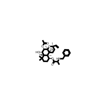 C=C[C@@]1(C)CC[C@]2(O)[C@@]3(C)[C@@H](OC(=O)C(C)NCc4ccccc4)CCC(C)(C)[C@@H]3[C@H](O)[C@H](OC(C)=O)[C@@]2(C)O1